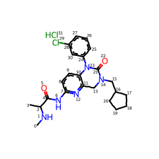 CNC(C)C(=O)Nc1ccc2c(n1)CN(CC1CCCC1)C(=O)N2c1cccc(Cl)c1.Cl